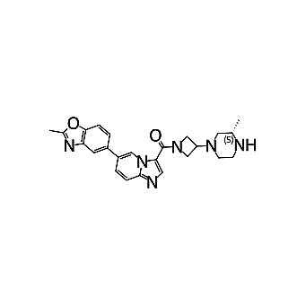 Cc1nc2cc(-c3ccc4ncc(C(=O)N5CC(N6CCN[C@@H](C)C6)C5)n4c3)ccc2o1